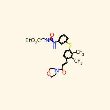 CCOC(=O)CNC(=O)Nc1cccc(Sc2ccc(C=CC(=O)N3CCOCC3)c(C(F)(F)F)c2C(F)(F)F)c1